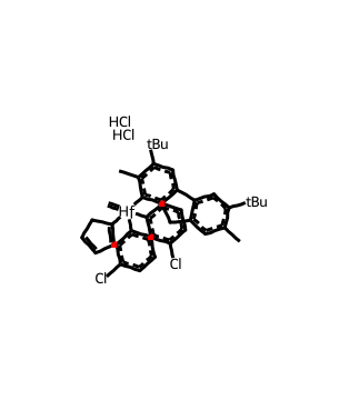 Cl.Cl.[CH2]=[Hf]([C]1=CC=CC1)([c]1cccc(Cl)c1)([c]1cccc(Cl)c1)[c]1c(C)c(C(C)(C)C)cc2c1Cc1cc(C)c(C(C)(C)C)cc1-2